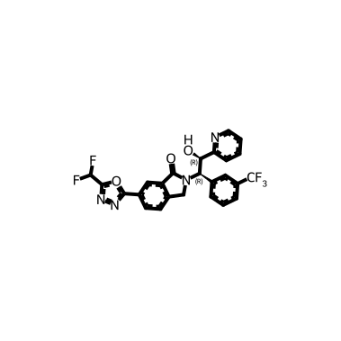 O=C1c2cc(-c3nnc(C(F)F)o3)ccc2CN1[C@H](c1cccc(C(F)(F)F)c1)[C@@H](O)c1ccccn1